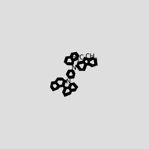 CC1(C)c2ccccc2-c2ccc(N(c3ccc(N4c5ccc6ccccc6c5-c5cccc6cccc4c56)cc3)c3cccc4ccccc34)cc21